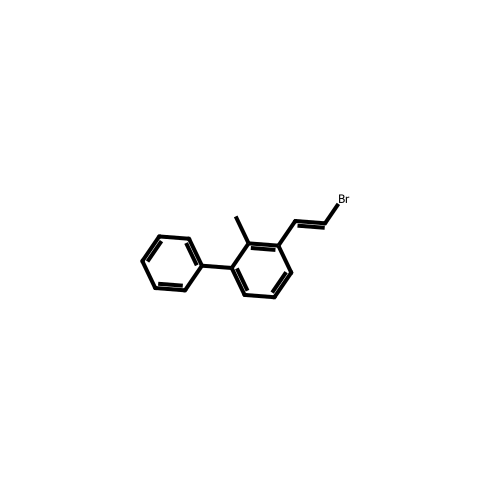 Cc1c(C=CBr)cccc1-c1ccccc1